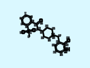 CS(=O)(=O)c1ccccc1C(=O)CC1CCN(Cc2ccc[nH]c2=O)CC1